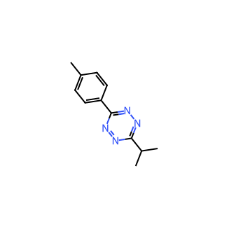 Cc1ccc(-c2nnc(C(C)C)nn2)cc1